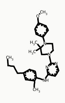 CCCCc1ccc(Nc2ccnc(N3CCN(c4ccc(OC)cc4)C(C)(C)C3)n2)c(C)c1